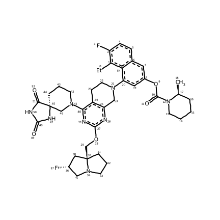 CCc1c(F)ccc2cc(OC(=O)N3CCCC[C@@H]3C)cc(N3CCc4c(nc(OC[C@@]56CCCN5C[C@H](F)C6)nc4N4CCC[C@]5(C4)NC(=O)NC5=O)C3)c12